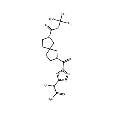 CC(=O)N(C)c1cnn(C(=O)N2CCC3(CCN(C(=O)OC(C)(C)C)C3)C2)c1